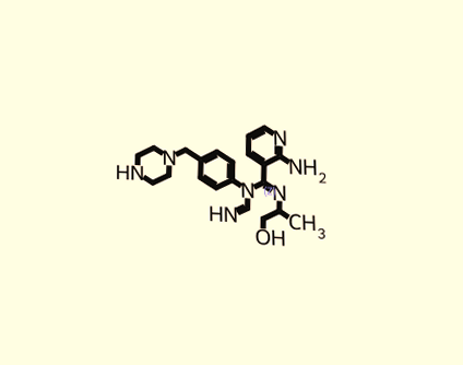 CC(CO)/N=C(/c1cccnc1N)N(C=N)c1ccc(CN2CCNCC2)cc1